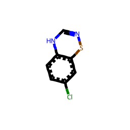 Clc1ccc2c(c1)SN=CN2